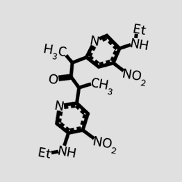 CCNc1cnc(C(C)C(=O)C(C)c2cc([N+](=O)[O-])c(NCC)cn2)cc1[N+](=O)[O-]